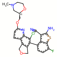 CN1CCO[C@@H](COc2ccc3c4c(c(-c5ccc(F)c6sc(N)c(C#N)c56)c(Cl)c3n2)COC4)C1